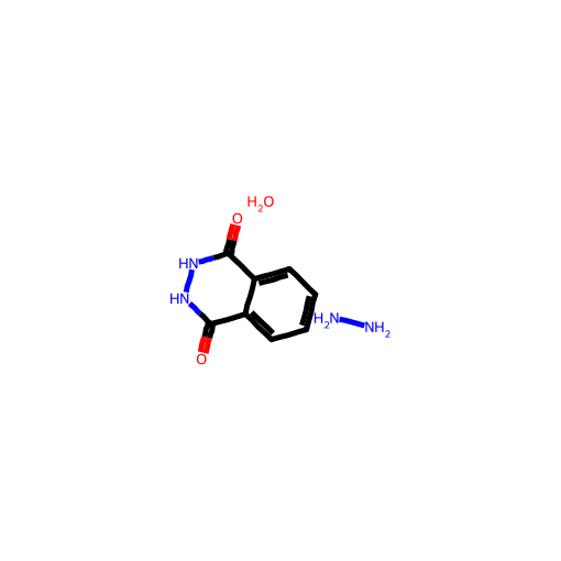 NN.O.O=c1[nH][nH]c(=O)c2ccccc12